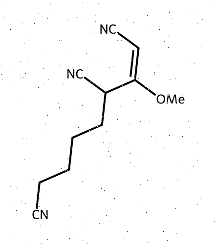 COC(=CC#N)C(C#N)CCCCC#N